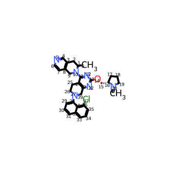 CC1Cc2cnccc2CN1c1nc(OC[C@@H]2CCCN2C)nc2c1CCN(c1cccc3cccc(Cl)c13)C2